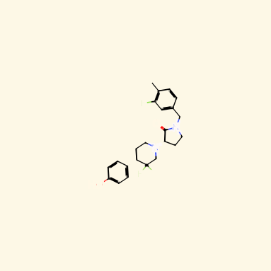 Cc1ccc(CN2CC[C@H](N3CC[C@@H](c4ccc(O)cc4)C(F)(F)C3)C2=O)cc1F